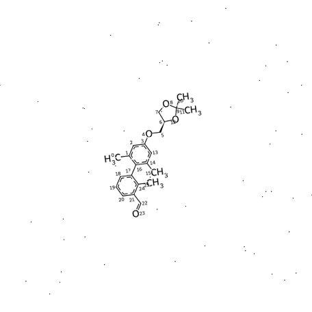 Cc1cc(OC[C@H]2COC(C)(C)O2)cc(C)c1-c1cccc(C=O)c1C